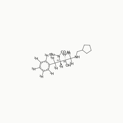 [2H]c1c([2H])c([2H])c(C([2H])([2H])[C@]([2H])(N(C(=O)O)C(C)(C)C)[C@]([2H])(O)C([2H])([2H])NCC2CCCC2)c([2H])c1[2H]